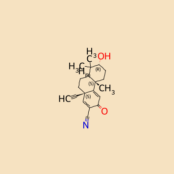 C#C[C@]12C=C(C#N)C(=O)C=C1[C@@]1(C)CC[C@@H](O)C(C)(C)[C@@H]1CC2